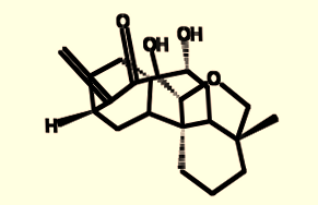 C=C1C(=O)[C@]23CC[C@H]1CC2[C@@]12CCC[C@@](C)(CO[C@H]1CO)C2C[C@H]3O